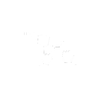 O=C(O)C1CCc2c(c3cc(F)ccc3n2C(=O)c2ccc(F)cc2)C1